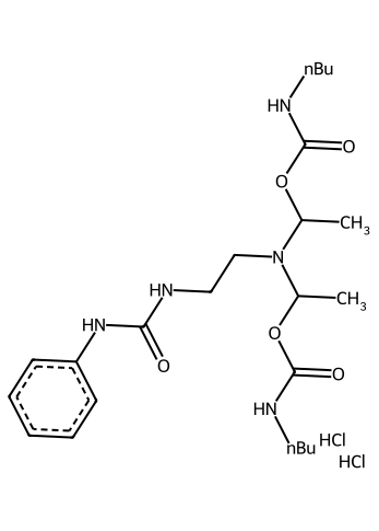 CCCCNC(=O)OC(C)N(CCNC(=O)Nc1ccccc1)C(C)OC(=O)NCCCC.Cl.Cl